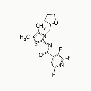 Cc1sc(=NC(=O)c2cc(F)nc(F)c2F)n(CC2CCCO2)c1C